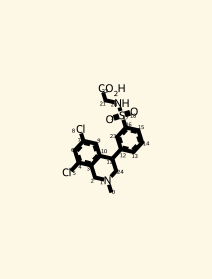 CN1Cc2c(Cl)cc(Cl)cc2C(c2cccc(S(=O)(=O)NCC(=O)O)c2)C1